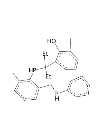 CCC(CC)(Pc1c(C)cccc1CPc1ccccc1)c1cccc(C)c1O